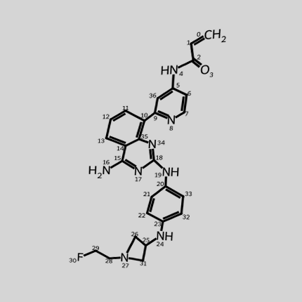 C=CC(=O)Nc1ccnc(-c2cccc3c(N)nc(Nc4ccc(NC5CN(CCF)C5)cc4)nc23)c1